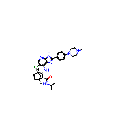 CC(C)NC(=O)[C@@H]1[C@@H](Nc2c(Cl)cnc3[nH]c(-c4ccc(N5CCN(C)CC5)cc4)nc23)[C@@H]2C=C[C@@H]1C2